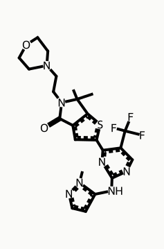 Cn1nccc1Nc1ncc(C(F)(F)F)c(-c2cc3c(s2)C(C)(C)N(CCN2CCOCC2)C3=O)n1